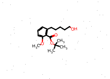 COc1cccc(CCCCCO)c1C(=O)OC(C)(C)C